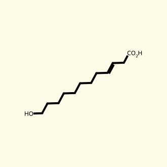 O=C(O)CC=CCCCCCCCCO